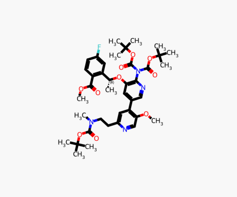 COC(=O)c1ccc(F)cc1[C@@H](C)Oc1cc(-c2cc(CCN(C)C(=O)OC(C)(C)C)ncc2OC)cnc1N(C(=O)OC(C)(C)C)C(=O)OC(C)(C)C